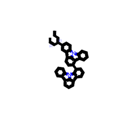 C=C/C=C(\C=C/C)c1ccc2c(c1)c1ccc(-c3cccc4c5cccc6c7ccccc7n(c34)c65)c3c4ccccc4n2c13